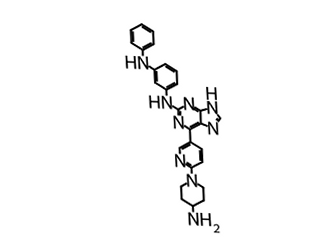 NC1CCN(c2ccc(-c3nc(Nc4cccc(Nc5ccccc5)c4)nc4[nH]cnc34)cn2)CC1